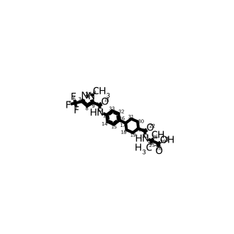 Cn1nc(C(F)(F)F)cc1C(=O)Nc1ccc(C2CCC(C(=O)NC(C)(C)C(=O)O)CC2)cc1